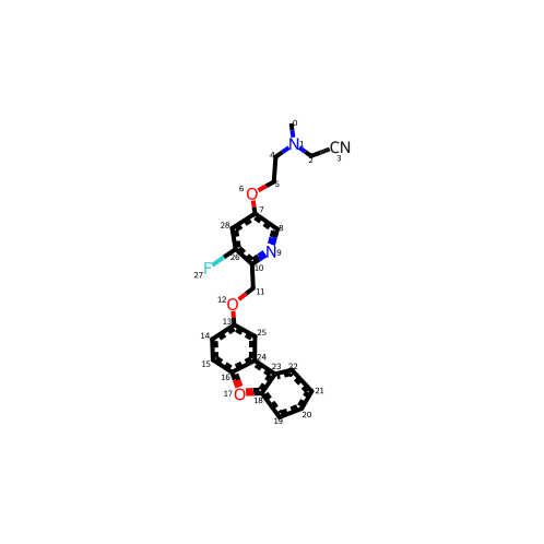 CN(CC#N)CCOc1cnc(COc2ccc3oc4ccccc4c3c2)c(F)c1